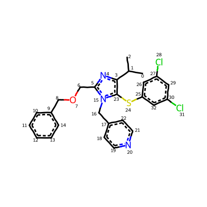 CC(C)c1nc(COCc2ccccc2)n(Cc2ccncc2)c1Sc1cc(Cl)cc(Cl)c1